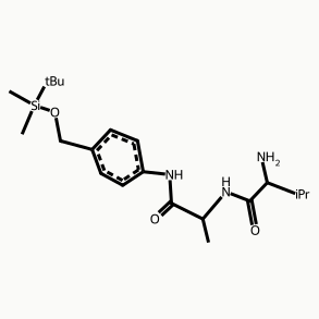 CC(NC(=O)C(N)C(C)C)C(=O)Nc1ccc(CO[Si](C)(C)C(C)(C)C)cc1